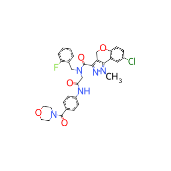 Cn1nc(C(=O)N(CC(=O)Nc2ccc(C(=O)N3CCOCC3)cc2)Cc2ccccc2F)c2c1-c1cc(Cl)ccc1OC2